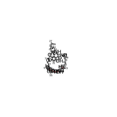 CO[C@H]1/C=C/O[C@@]2(C)Oc3c(C)c(O)c4c(c3C2=O)C2=NC3(CCN(CC(C)C)CC3)NC2=C(NC(=O)/C(C)=C\C=C\[C@]2(C)O[C@H]([C@@H](C)[C@@H](O)[C@@H](C)[C@H](OC(C)=O)[C@@H]1C)[C@H]2C)C4=O